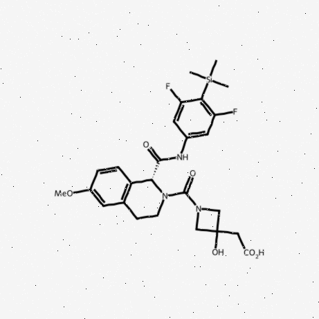 COc1ccc2c(c1)CCN(C(=O)N1CC(O)(CC(=O)O)C1)[C@H]2C(=O)Nc1cc(F)c([Si](C)(C)C)c(F)c1